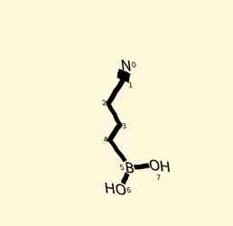 N#CCCCB(O)O